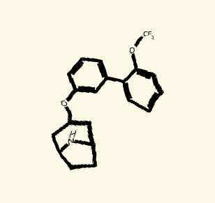 FC(F)(F)Oc1ccccc1-c1cccc(OC2CC3CCC(C2)N3)c1